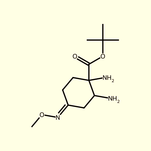 CON=C1CCC(N)(C(=O)OC(C)(C)C)C(N)C1